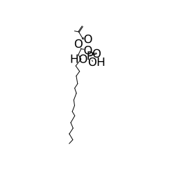 C=C(C)C(=O)OC(CCCCCCCCCCCCCCCCC)OP(=O)(O)O